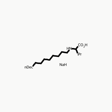 CCCCCCCCCCCCCCCCCCNC(C(=O)O)C(C)C.[NaH]